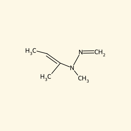 C=NN(C)/C(C)=C/C